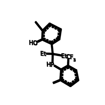 CCC(CC)(Pc1c(C)cccc1C(F)(F)F)c1cccc(C)c1O